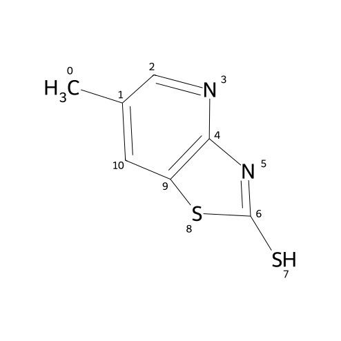 Cc1cnc2nc(S)sc2c1